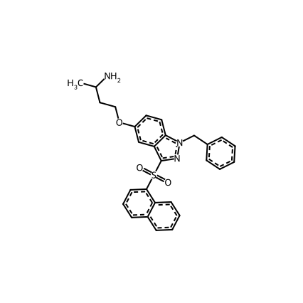 CC(N)CCOc1ccc2c(c1)c(S(=O)(=O)c1cccc3ccccc13)nn2Cc1ccccc1